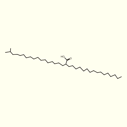 CCCCCCCCCCCCCCCCC(CCCCCCCCCCCCCCCC(C)C)C(=O)O